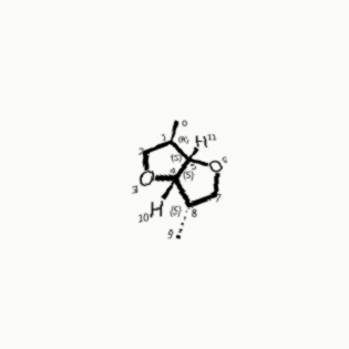 C[C@@H]1CO[C@@H]2[C@H]1OC[C@@H]2C